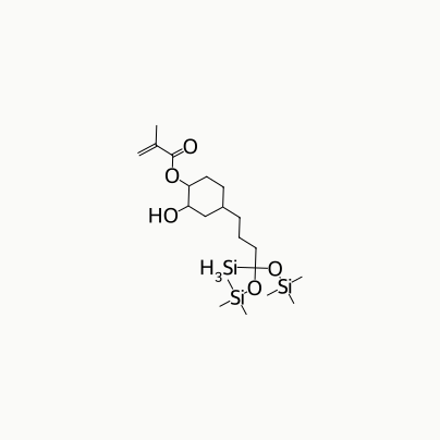 C=C(C)C(=O)OC1CCC(CCCC([SiH3])(O[Si](C)(C)C)O[Si](C)(C)C)CC1O